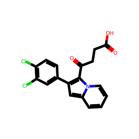 O=C(O)CCC(=O)c1c(-c2ccc(Cl)c(Cl)c2)cc2ccccn12